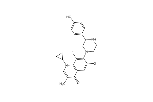 Cc1cn(C2CC2)c2c(F)c(N3CCNC(c4ccc(O)cc4)C3)c(Cl)cc2c1=O